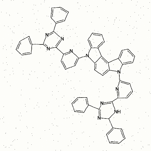 c1ccc(C2=NC(c3ccccc3)NC(c3cccc(-n4c5ccccc5c5c6c7ccccc7n(-c7cccc(-c8nc(-c9ccccc9)nc(-c9ccccc9)n8)n7)c6ccc54)n3)=N2)cc1